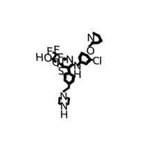 Clc1cc(Nc2ncnc3sc4cc(CCN5CCNCC5)ccc4c23)ccc1OCc1ccccn1.O=C(O)C(F)(F)F